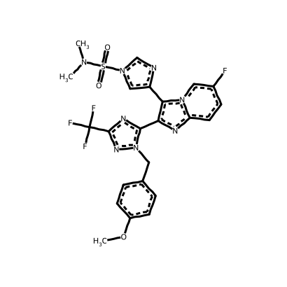 COc1ccc(Cn2nc(C(F)(F)F)nc2-c2nc3ccc(F)cn3c2-c2cn(S(=O)(=O)N(C)C)cn2)cc1